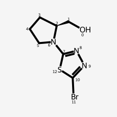 OC[C@@H]1CCCN1c1nnc(Br)s1